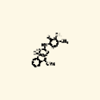 COC(=O)c1ccccc1S(=O)(=O)NC(=O)Nc1ncc(C)n(C)c1=O